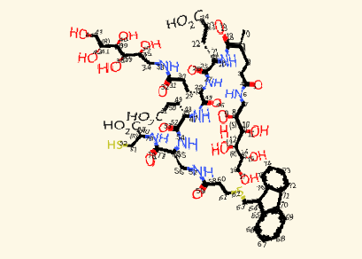 C[C@@H](CCC(=O)NC[C@H](O)[C@@H](O)[C@H](O)[C@H](O)CO)C(=O)N[C@@H](CCC(=O)O)C(=O)N[C@@H](CCC(=O)NC[C@H](O)[C@@H](O)[C@H](O)[C@H](O)CO)C(=O)N[C@@H](CCC(=O)O)C(=O)N[C@@H](CNC(=O)CCSCC1c2ccccc2-c2ccccc21)C(=O)N[C@@H](CS)C(=O)O